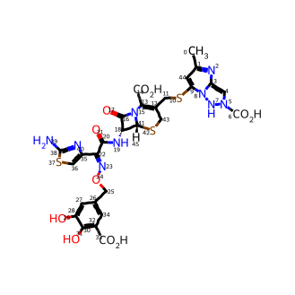 CC1=NC2=CN(C(=O)O)NN2C(SCC2=C(C(=O)O)N3C(=O)[C@@H](NC(=O)C(=NOCc4cc(O)c(O)c(C(=O)O)c4)c4csc(N)n4)[C@H]3SC2)=C1